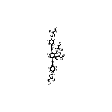 C=CC(=O)OCc1ccc(C#Cc2ccc(C#Cc3ccc(COC(=O)C=C)cc3)c(OC(=O)C=C)c2COC(=O)C=C)cc1